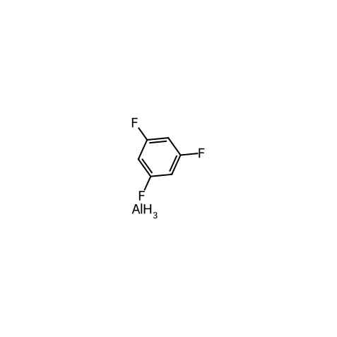 Fc1cc(F)cc(F)c1.[AlH3]